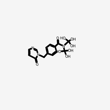 O=C(c1ccc(Cn2cnccc2=O)cc1)N(C(O)(O)O)C(O)(O)O